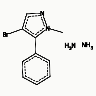 Cn1ncc(Br)c1-c1ccccc1.N.N